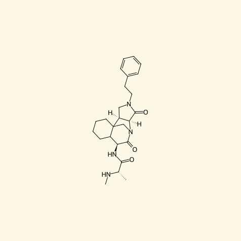 CN[C@@H](C)C(=O)N[C@@H]1C(=O)N2CC3(CCCCC13)[C@H]1CN(CCc3ccccc3)C(=O)[C@H]12